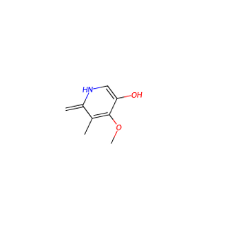 C=C1NC=C(O)C(OC)=C1C